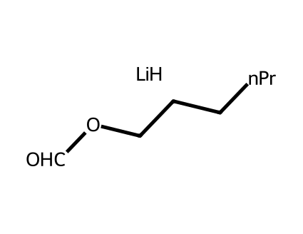 CCCCCCOC=O.[LiH]